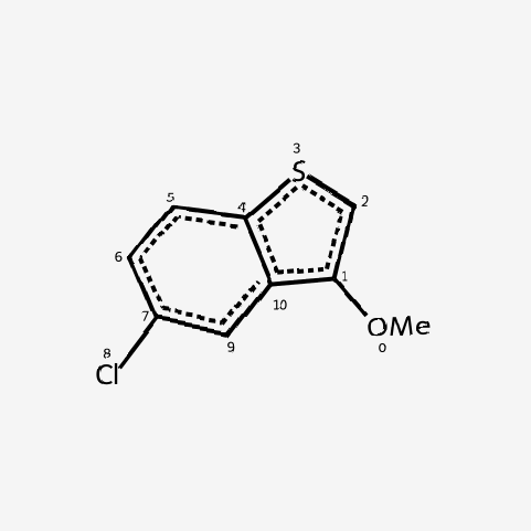 COc1csc2ccc(Cl)cc12